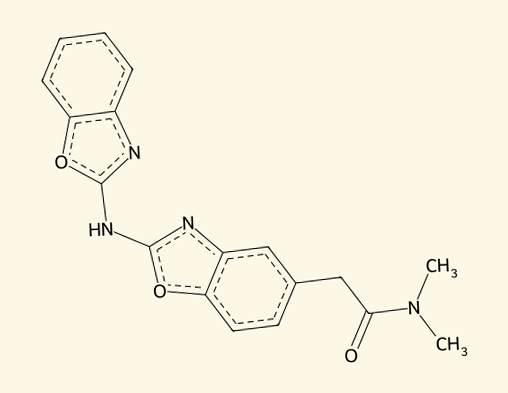 CN(C)C(=O)Cc1ccc2oc(Nc3nc4ccccc4o3)nc2c1